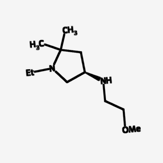 CCN1C[C@H](NCCOC)CC1(C)C